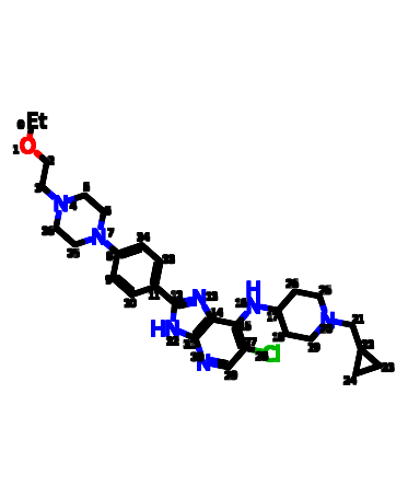 CCOCCN1CCN(c2ccc(-c3nc4c(NC5CCN(CC6CC6)CC5)c(Cl)cnc4[nH]3)cc2)CC1